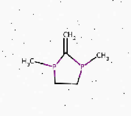 C=C1P(C)CCP1C